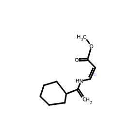 C=C(N/C=C\C(=O)OC)C1CCCCC1